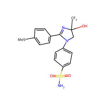 CSc1ccc(C2=NC(O)(C(F)(F)F)CN2c2ccc(S(N)(=O)=O)cc2)cc1